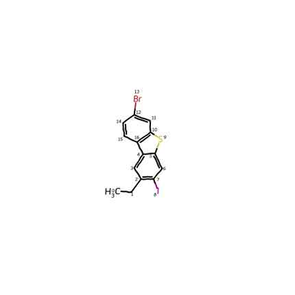 CCc1cc2c(cc1I)sc1cc(Br)ccc12